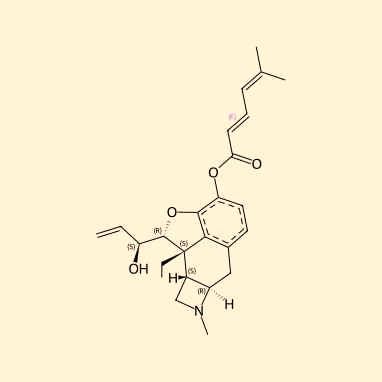 C=C[C@H](O)[C@@H]1Oc2c(OC(=O)/C=C/C=C(C)C)ccc3c2[C@]1(CC)[C@H]1CN(C)[C@@H]1C3